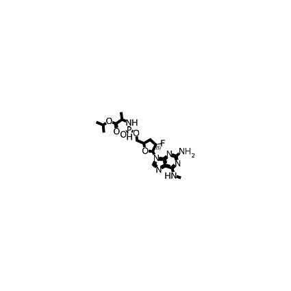 CNc1nc(N)nc2c1ncn2C1OC(CO[PH](=O)NC(C)C(=O)OC(C)C)C[C@@H]1F